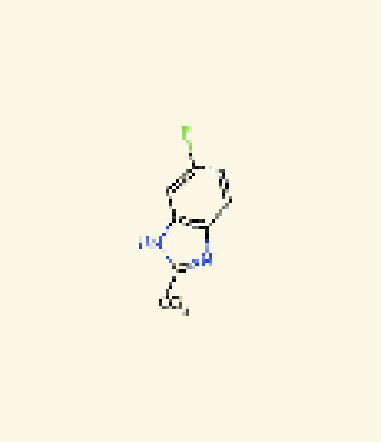 Fc1ccc2nc(C(Cl)(Cl)Cl)[nH]c2c1